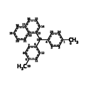 Cc1ccc(P(c2ccc(C)cc2)c2cccc3ccccc23)cc1